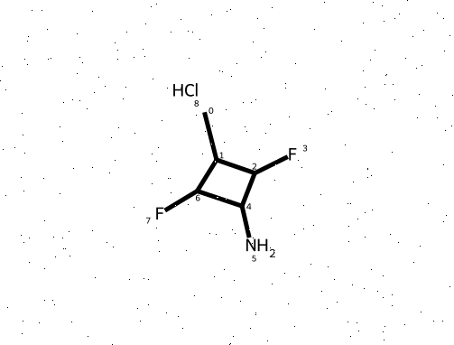 CC1C(F)C(N)C1F.Cl